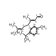 CC(C)=CCC/C(C)=C/C=O.Cc1ccc(C(C)C)cc1